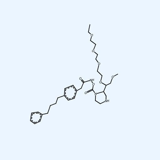 CCOCCOCCOCCOC(COC)C1CNCCN1C(=O)ONC(=O)Cc1ccc(CCCCc2ccccc2)cc1